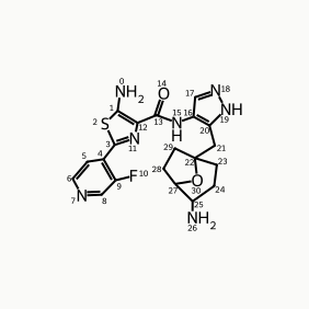 Nc1sc(-c2ccncc2F)nc1C(=O)Nc1cn[nH]c1CC12CCC(N)C(CC1)O2